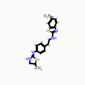 CC1CN/C(=N/c2ccc(CCNc3nc4ccc([N+](=O)[O-])cc4s3)cc2)S1